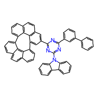 c1ccc(-c2cccc(-c3nc(-c4cc5ccc6cccc7c8cccc9ccc%10cccc(c(c4)c5c67)c%10c98)nc(-n4c5ccccc5c5ccccc54)n3)c2)cc1